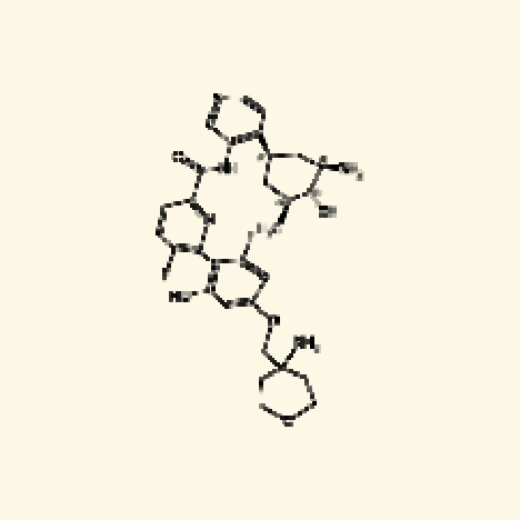 C[C@H]1C[C@@H](c2ccncc2NC(=O)c2ccc(F)c(-c3c(O)cc(OCC4(N)CCOCC4)cc3F)n2)C[C@@H](N)[C@@H]1O